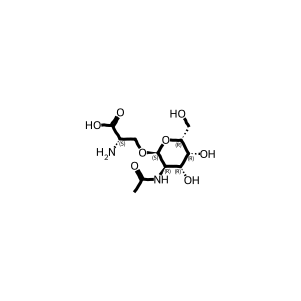 CC(=O)N[C@H]1[C@@H](OC[C@H](N)C(=O)O)O[C@H](CO)[C@H](O)[C@@H]1O